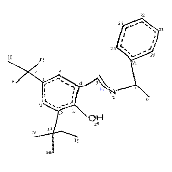 CC(/N=C/c1cc(C(C)(C)C)cc(C(C)(C)C)c1O)c1ccccc1